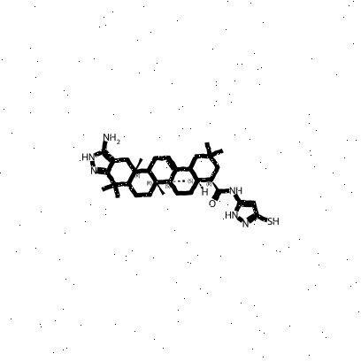 CC1(C)CC2C3=CCC4[C@@]5(C)Cc6c(n[nH]c6N)C(C)(C)C5CC[C@@]4(C)[C@]3(C)CC[C@@H]2[C@H](C(=O)Nc2cc(S)n[nH]2)C1